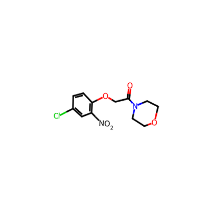 O=C(COc1ccc(Cl)cc1[N+](=O)[O-])N1CCOCC1